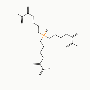 C=C(C)C(=C)CCCCP(=C)(CCCCC(=C)C(=C)C)CCCCC(=C)C(=C)C